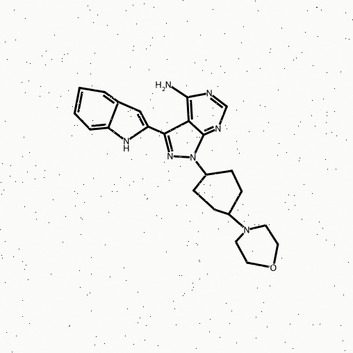 Nc1ncnc2c1c(-c1cc3ccccc3[nH]1)nn2C1CCC(N2CCOCC2)CC1